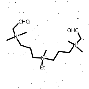 CC[N+](C)(CCC[N+](C)(C)CC=O)CCC[N+](C)(C)CC=O